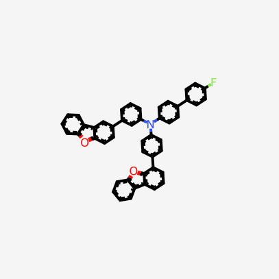 Fc1ccc(-c2ccc(N(c3ccc(-c4cccc5c4oc4ccccc45)cc3)c3cccc(-c4ccc5oc6ccccc6c5c4)c3)cc2)cc1